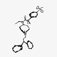 CCN(C(=O)Nc1ccc(S(C)(=O)=O)cc1)C1CCN(CCC(c2ccccc2)c2ccccc2)CC1